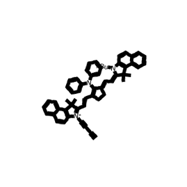 C#CC#C[N+]1=C(C=CC2=C(N(c3ccccc3)c3ccccc3)C(=CC=C3N(CCCC)c4ccc5ccccc5c4C3(C)C)CC2)C(C)(C)c2c1ccc1ccccc21